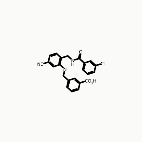 N#Cc1ccc(CNC(=O)c2cccc(Cl)c2)c(NCc2cccc(C(=O)O)c2)c1